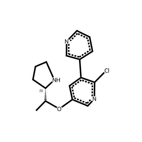 CC(Oc1cnc(Cl)c(-c2cccnc2)c1)[C@@H]1CCCN1